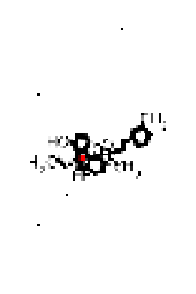 C=CCN1CC[C@@]23c4c5ccc(O)c4C[C@@H]1[C@@H]2CC[C@H](N(C)C(=O)C=Cc1cccc(C)c1)[C@@H]3O5